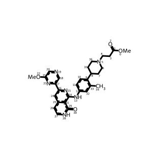 COC(=O)CCN1CCC(c2ccc(Nc3nc(-c4cncc(OC)n4)cc4cc[nH]c(=O)c34)cc2C)CC1